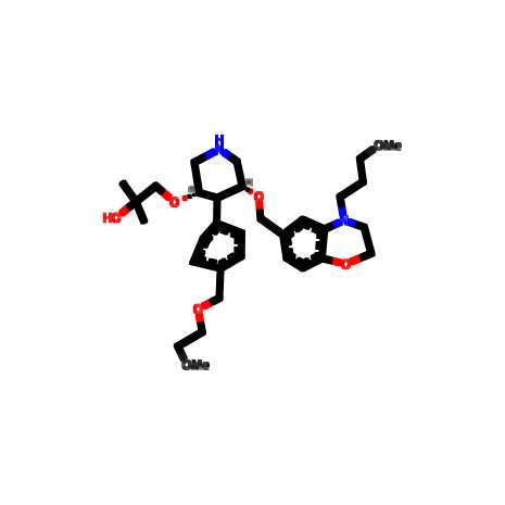 COCCCN1CCOc2ccc(CO[C@H]3CNC[C@@H](OCC(C)(C)O)C3c3ccc(COCCOC)cc3)cc21